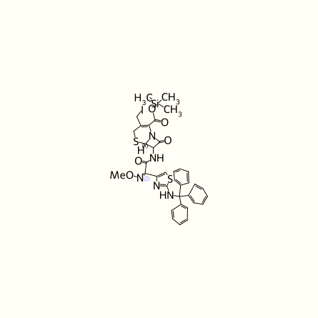 CO/N=C(\C(=O)NC1C(=O)N2C(C(=O)O[Si](C)(C)C)=C(CI)CS[C@H]12)c1csc(NC(c2ccccc2)(c2ccccc2)c2ccccc2)n1